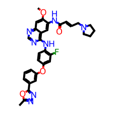 COc1cc2ncnc(Nc3ccc(Oc4cccc(-c5nnc(C)o5)c4)cc3F)c2cc1NC(=O)/C=C/CN1CCCC1